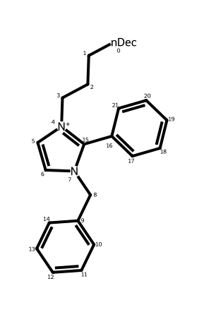 CCCCCCCCCCCCC[n+]1ccn(Cc2ccccc2)c1-c1ccccc1